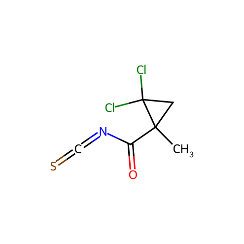 CC1(C(=O)N=C=S)CC1(Cl)Cl